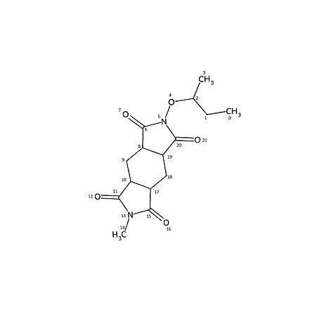 CCC(C)ON1C(=O)C2CC3C(=O)N(C)C(=O)C3CC2C1=O